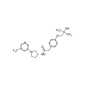 CC(C)(O)COc1ccc(CC(=O)N[C@@H]2CCN(c3cncc(C(F)(F)F)c3)C2)cc1